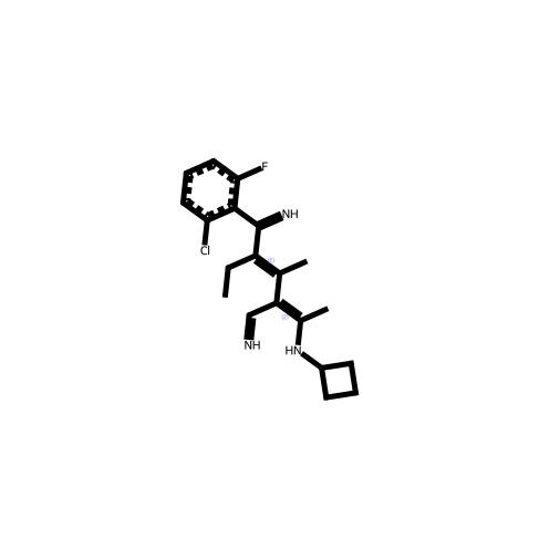 CC/C(C(=N)c1c(F)cccc1Cl)=C(C)\C(C=N)=C(/C)NC1CCC1